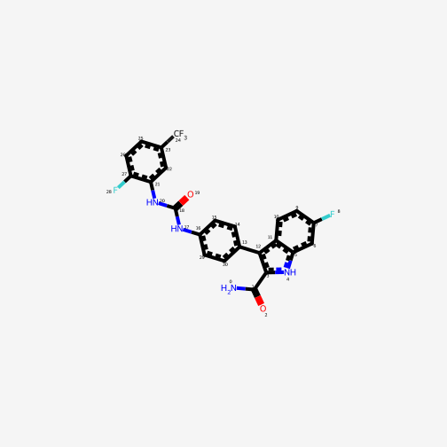 NC(=O)c1[nH]c2cc(F)ccc2c1-c1ccc(NC(=O)Nc2cc(C(F)(F)F)ccc2F)cc1